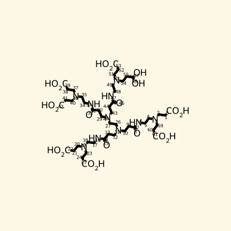 O=C(O)CCN(CCNC(=O)CCN(CCC(=O)NCCN(CCC(=O)O)CCC(=O)O)CCN(CCC(=O)NCCN(CCC(=O)O)CCC(=O)O)CCC(=O)NCCN(CCC(=O)O)CCC(O)O)CCC(=O)O